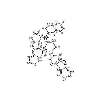 c1ccc2cc(N(c3ccc(-c4ccc5c(c4)oc4ccccc45)cc3)c3cccc4oc5c6ccccc6ccc5c34)ccc2c1